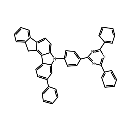 c1ccc(-c2ccc3c4c5c(ccc4n(-c4ccc(-c6nc(-c7ccccc7)nc(-c7ccccc7)n6)cc4)c3c2)-c2ccccc2C5)cc1